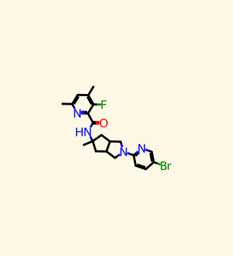 Cc1cc(C)c(F)c(C(=O)NC2(C)CC3CN(c4ccc(Br)cn4)CC3C2)n1